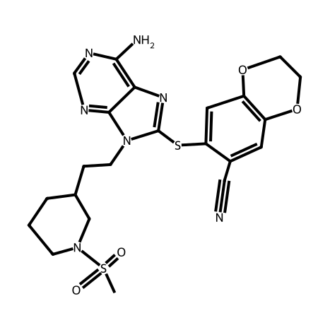 CS(=O)(=O)N1CCCC(CCn2c(Sc3cc4c(cc3C#N)OCCO4)nc3c(N)ncnc32)C1